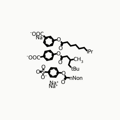 CC(C)CCCCCC(=O)Oc1cccc(C(=O)[O-])c1.CC(CC(=O)Oc1ccc(C(=O)[O-])cc1)CC(C)(C)C.CCCCCCCCCC(=O)Oc1ccc(S(=O)(=O)[O-])cc1.[Na+].[Na+].[Na+]